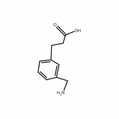 NCc1[c]ccc(CCC(=O)O)c1